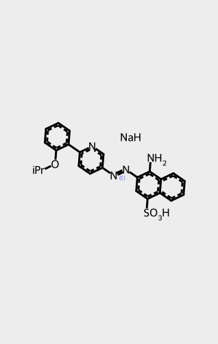 CC(C)Oc1ccccc1-c1ccc(/N=N/c2cc(S(=O)(=O)O)c3ccccc3c2N)cn1.[NaH]